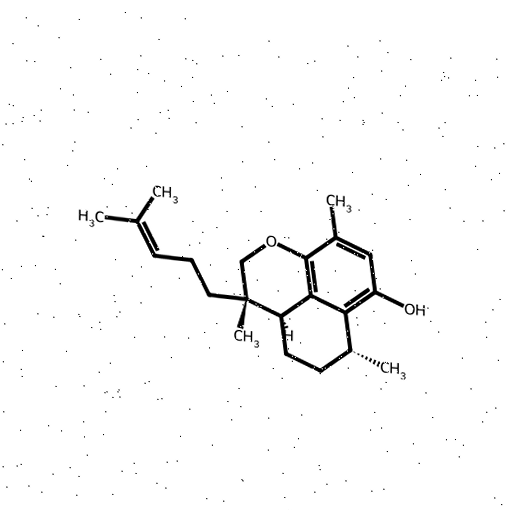 CC(C)=CCC[C@]1(C)COc2c(C)cc(O)c3c2[C@H]1CC[C@H]3C